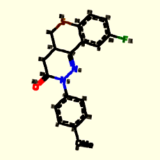 COc1ccc(N2N=C3c4cc(F)ccc4SCC3CC2=O)cc1